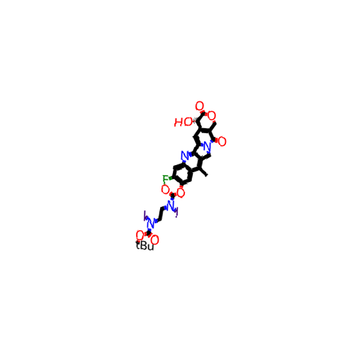 Cc1c2c(nc3cc(F)c(OC(=O)N(I)CCN(I)C(=O)OC(C)(C)C)cc13)-c1cc3c(c(=O)n1C2)COC(=O)[C@H]3O